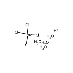 O.O.O.O.[Cl][Au-]([Cl])([Cl])[Cl].[H+]